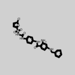 Nc1cc(NCc2ccccc2)ccc1C(=O)Nc1ccc(NC(=O)NS(=O)(=O)c2ccc(Cl)s2)cc1